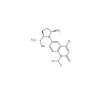 C[C@@H]1CC[C@H]([C@H](O)C(F)(F)F)N1c1ccc2c(c1)c(Cl)cc(=O)n2C(F)F